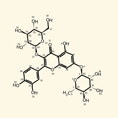 C[C@@H]1O[C@@H](Oc2cc(O)c3c(=O)c(O[C@@H]4O[C@H](CO)[C@@H](O)[C@H](O)[C@H]4O)c(-c4ccc(O)c(O)c4)oc3c2)[C@H](O)[C@H](O)[C@H]1O